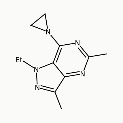 CCn1nc(C)c2nc(C)nc(N3CC3)c21